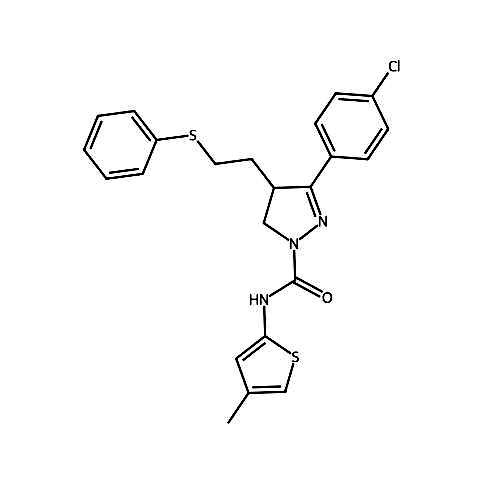 Cc1csc(NC(=O)N2CC(CCSc3ccccc3)C(c3ccc(Cl)cc3)=N2)c1